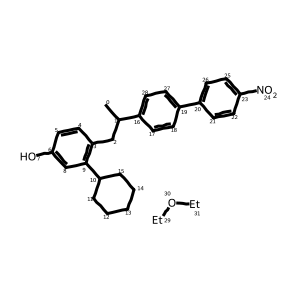 CC(Cc1ccc(O)cc1C1CCCCC1)c1ccc(-c2ccc([N+](=O)[O-])cc2)cc1.CCOCC